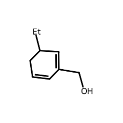 CCC1C=C(CO)C=CC1